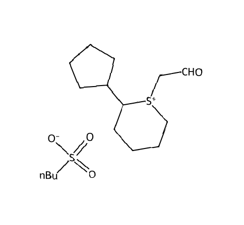 CCCCS(=O)(=O)[O-].O=CC[S+]1CCCCC1C1CCCC1